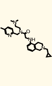 Cc1ccc(CN(CCN(C)C)C(=O)CNc2cccc3c2CCN(CC2CC2)C3)nc1